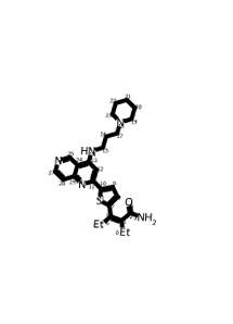 CCC(C(N)=O)=C(CC)c1ccc(-c2cc(NCCCN3CCCCC3)c3cnccc3n2)s1